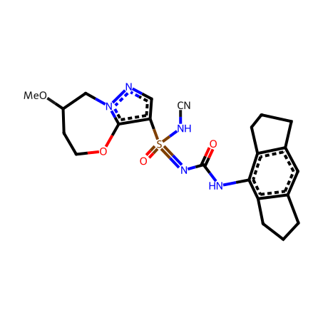 COC1CCOc2c(S(=O)(=NC(=O)Nc3c4c(cc5c3CCC5)CCC4)NC#N)cnn2C1